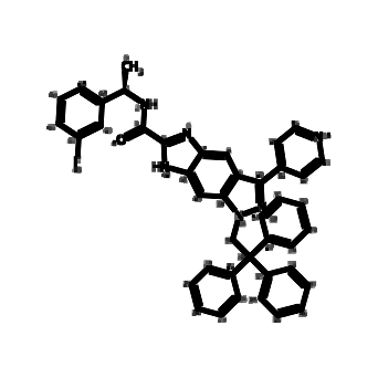 C[C@@H](NC(=O)c1nc2cc3c(-c4ccncc4)nn(CC(c4ccccc4)(c4ccccc4)c4ccccc4)c3cc2[nH]1)c1cccc(F)c1